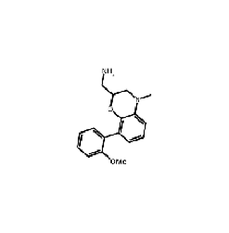 COc1ccccc1-c1cccc2c1OC(CN)CN2C